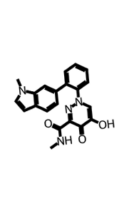 CNC(=O)c1nn(-c2ccccc2-c2ccc3ccn(C)c3c2)cc(O)c1=O